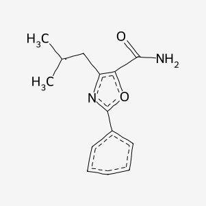 C[C](C)Cc1nc(-c2ccccc2)oc1C(N)=O